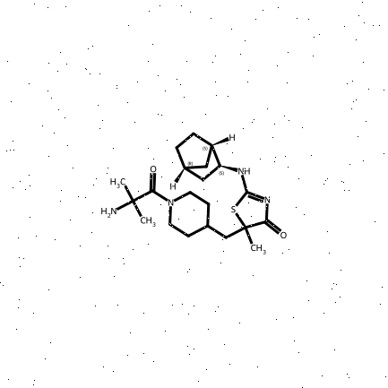 CC(C)(N)C(=O)N1CCC(CC2(C)SC(N[C@H]3C[C@@H]4CC[C@H]3C4)=NC2=O)CC1